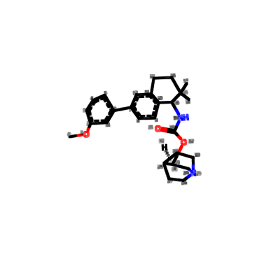 COc1cccc(-c2ccc3c(c2)CCC(C)(C)C3NC(=O)O[C@H]2CN3CCC2CC3)c1